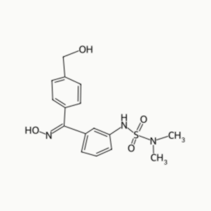 CN(C)S(=O)(=O)Nc1cccc(C(=NO)c2ccc(CO)cc2)c1